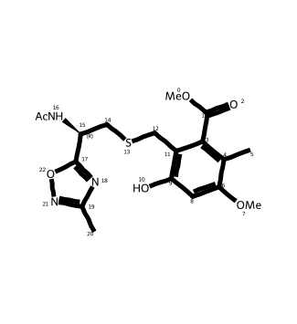 COC(=O)c1c(C)c(OC)cc(O)c1CSC[C@H](NC(C)=O)c1nc(C)no1